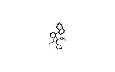 CC1=C(C2CCCC2)[CH]([Zr])c2cccc(-c3cccc4ccccc34)c21